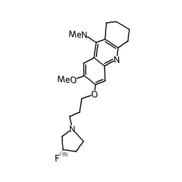 CNc1c2c(nc3cc(OCCCN4CC[C@H](F)C4)c(OC)cc13)CCCC2